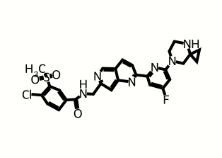 CS(=O)(=O)c1cc(C(=O)NCc2cc3nc(-c4cc(F)cc(N5CCNC6(CC6)C5)n4)ccc3cn2)ccc1Cl